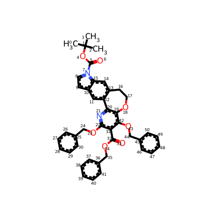 CC(C)(C)OC(=O)n1ccc2cc3c(cc21)CCOc1c-3nc(OCc2ccccc2)c(C(=O)OCc2ccccc2)c1OCc1ccccc1